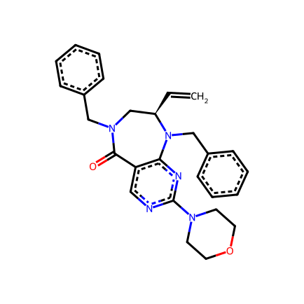 C=C[C@@H]1CN(Cc2ccccc2)C(=O)c2cnc(N3CCOCC3)nc2N1Cc1ccccc1